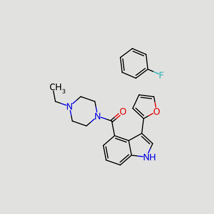 CCN1CCN(C(=O)c2cccc3[nH]cc(-c4ccco4)c23)CC1.Fc1ccccc1